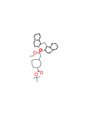 CCOCOc1ccc2ccccc2c1Cc1c(OCCC2CCCCC(C(=O)OC(C)(C)C)CC2)ccc2ccccc12